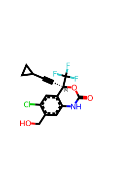 O=C1Nc2cc(CO)c(Cl)cc2[C@@](C#CC2CC2)(C(F)(F)F)O1